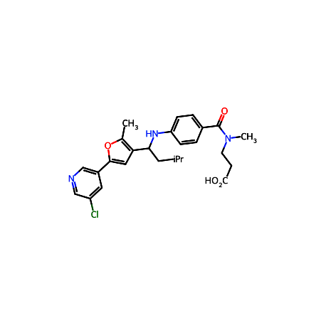 Cc1oc(-c2cncc(Cl)c2)cc1C(CC(C)C)Nc1ccc(C(=O)N(C)CCC(=O)O)cc1